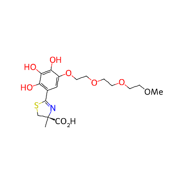 COCCOCCOCCOc1cc(C2=N[C@@](C)(C(=O)O)CS2)c(O)c(O)c1O